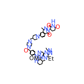 CC[C@@H]1c2nnc(C)n2-c2cnc(Nc3ccc(C(=O)N4CCN(CC5CCN(c6ccc7c(=O)n(C8CCC(=O)NC8=O)nc(C)c7c6)CC5)CC4)cc3OC)nc2N1CC1CCCCC1